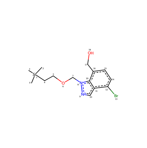 C[Si](C)(C)CCOCn1ncc2c(Br)ccc(CO)c21